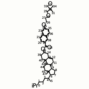 CC(C)CCCC(C)C1CCC2C3CC=C4CC(OC(=O)c5ccc6cc(OCCOCC7(C)COC7)ccc6c5)CCC4(C)C3CCC12C